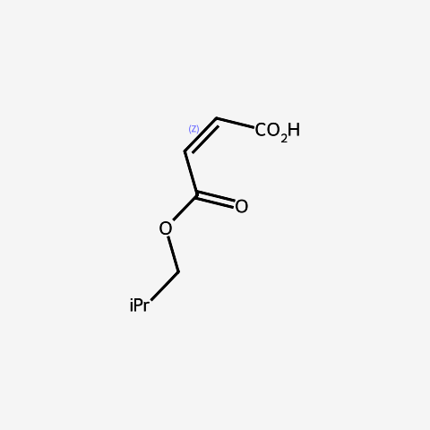 CC(C)COC(=O)/C=C\C(=O)O